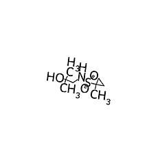 CC(C)(O)CNS(=O)(=O)C1(C)CC1